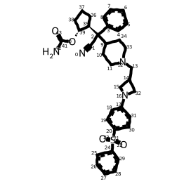 N#CC(c1ccccc1)(C1CCN(CC2CN(c3ccc(S(=O)(=O)c4ccccc4)cc3)C2)CC1)[C@@H]1CCC[C@H]1OC(N)=O